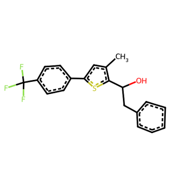 Cc1cc(-c2ccc(C(F)(F)F)cc2)sc1C(O)Cc1ccccc1